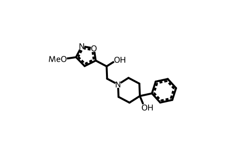 COc1cc(C(O)CN2CCC(O)(c3ccccc3)CC2)on1